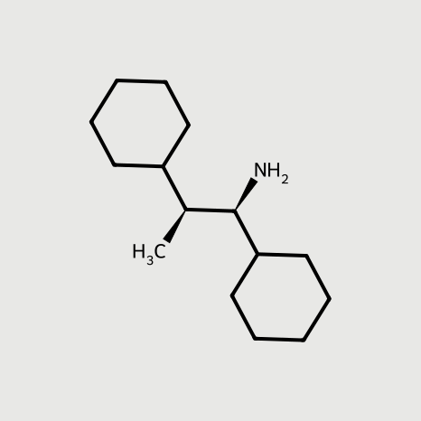 C[C@@H](C1CCCCC1)[C@@H](N)C1CCCCC1